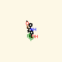 CCOc1cccc2c1SCC1C2Nc2ccc(C(O)(C(F)(F)F)C(F)(F)F)cc2C1(C)C